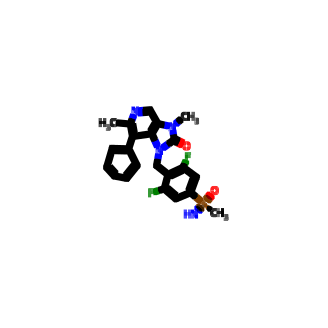 Cc1ncc2c(c1-c1ccccc1)n(Cc1c(F)cc([S@@](C)(=N)=O)cc1F)c(=O)n2C